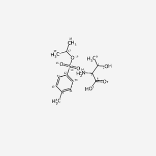 CC(O)C(N)C(=O)O.Cc1ccc(S(=O)(=O)OC(C)C)cc1